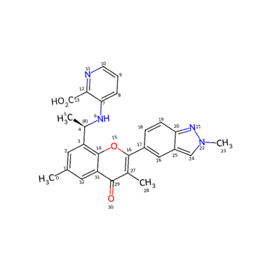 Cc1cc([C@@H](C)Nc2cccnc2C(=O)O)c2oc(-c3ccc4nn(C)cc4c3)c(C)c(=O)c2c1